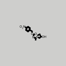 CC(=NC(=O)OCc1ccc([N+](=O)[O-])cc1)N1CCC(O)C1